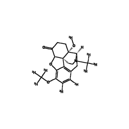 [2H]O[C@@]12CCC(=O)C3Oc4c(OC([2H])([2H])[2H])c([2H])c([2H])c5c4[C@@]31CCN(C([2H])([2H])[2H])[C@@H]2C5